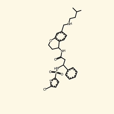 CC(C)CCNCc1ccc2c(c1)OCCC2NC(=O)CC(NS(=O)(=O)c1ccc(Cl)s1)c1ccccc1